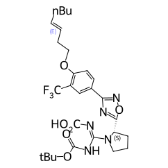 CCCC/C=C/CCOc1ccc(-c2noc([C@@H]3CCCN3C(=NC(=O)O)NC(=O)OC(C)(C)C)n2)cc1C(F)(F)F